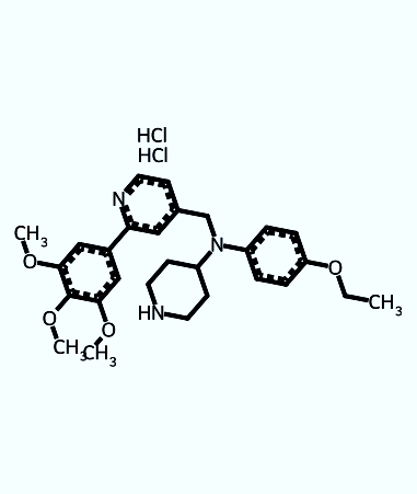 CCOc1ccc(N(Cc2ccnc(-c3cc(OC)c(OC)c(OC)c3)c2)C2CCNCC2)cc1.Cl.Cl